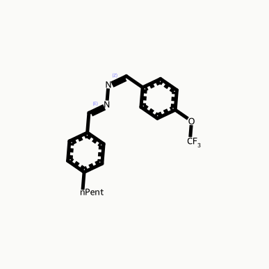 CCCCCc1ccc(/C=N/N=C\c2ccc(OC(F)(F)F)cc2)cc1